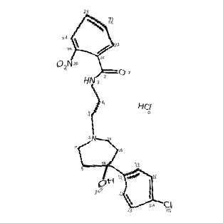 Cl.O=C(NCCN1CCC(O)(c2ccc(Cl)cc2)CC1)c1ccccc1[N+](=O)[O-]